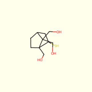 OCC12CCC(CC1S)C2(CO)CO